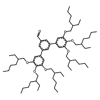 CCCCC(CC)COc1cc(-c2cc(C=O)cc(-c3cc(OCC(CC)CCCC)c(OCC(CC)CCCC)c(OCC(CC)CCCC)c3)c2)cc(OCC(CC)CCCC)c1OCC(CC)CCCC